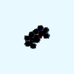 c1ccc(N(c2ccccc2)c2cc(Oc3cccc4c3CCCN4c3cc(N(c4ccccc4)c4ccccc4)cc(N(c4ccccc4)c4ccccc4)c3)cc(N(c3ccccc3)c3ccccc3)c2)cc1